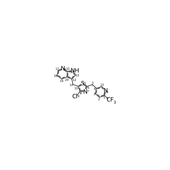 FC(F)(F)c1ccc([CH]c2nc(Cl)c(Cc3c[nH]c4ncccc34)s2)cn1